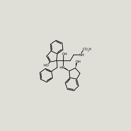 O=C(O)NCCC(O)(N[C@@H]1c2ccccc2C[C@@H]1O)C1(Cc2ccccc2)C(O)=Cc2ccccc21